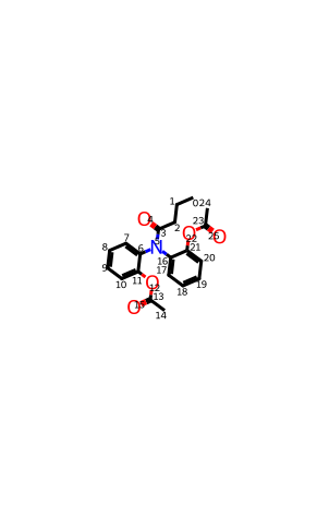 CCCC(=O)N(c1ccccc1OC(C)=O)c1ccccc1OC(C)=O